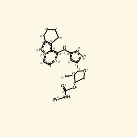 CC(C)NC(=O)O[C@H]1CO[C@@H](c2cc(Nc3nccn4nc5c(c34)CCCC5)n[nH]2)[C@@H]1F